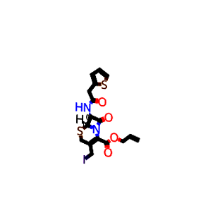 C=CCOC(=O)C1=C(CI)CS[C@H]2[C@H](NC(=O)Cc3cccs3)C(=O)N12